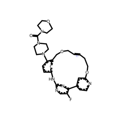 O=C(N1CCOCC1)N1CCN(c2ccc3cc2COC/C=C/CCOc2cc(ccn2)-c2nc(ncc2F)N3)CC1